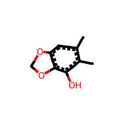 Cc1cc2c(c(O)c1C)OCO2